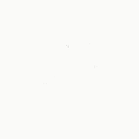 CC(C)CC(C)C#N.O=C(c1ccccc1)c1ccccc1